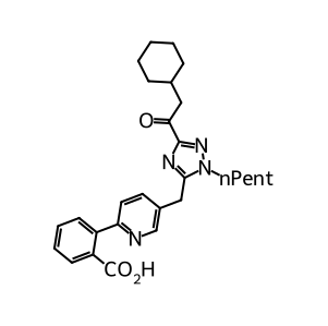 CCCCCn1nc(C(=O)CC2CCCCC2)nc1Cc1ccc(-c2ccccc2C(=O)O)nc1